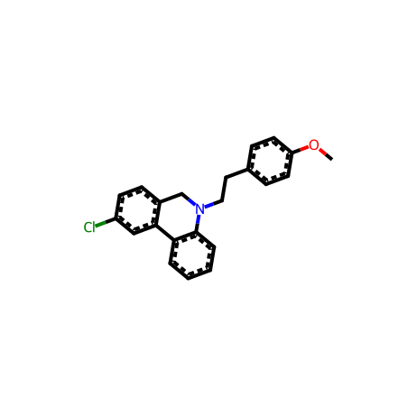 COc1ccc(CCN2Cc3ccc(Cl)cc3-c3ccccc32)cc1